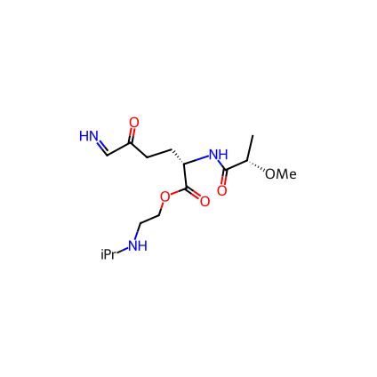 CO[C@@H](C)C(=O)N[C@@H](CCC(=O)C=N)C(=O)OCCNC(C)C